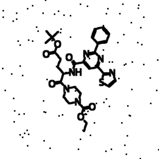 CCOC(=O)N1CCN(C(=O)C(CCC(=O)OC(C)(C)C)NC(=O)c2cc(-c3nccs3)nc(-c3ccccc3)n2)CC1